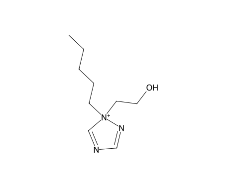 CCCCC[N+]1(CCO)C=NC=N1